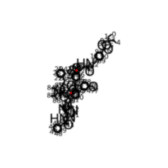 CCC1(CC)COC(c2ccc(CNC(=O)CCC(C)(C)SSc3ccccc3CCOP(OC(Cn3cnc4c(NC(=O)c5ccccc5)ncnc43)C(COC(c3ccccc3)(c3ccc(OC)cc3)c3ccc(OC)cc3)OC)N(C(C)C)C(C)C)cc2)OC1